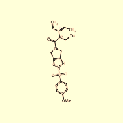 C=C/C(=C/C)[C@@H](CO)C(=O)N1Cc2cn(S(=O)(=O)c3ccc(OC)cc3)nc2C1